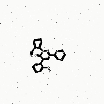 COc1ccccc1-c1cc(-c2ccccn2)nn(-c2ccccc2C#N)c1=O